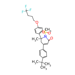 CC(C)(C)c1ccc(C2=CC(=O)N(S(C)(=O)=O)C(C)(c3ccc(OCCCC(F)(F)F)cc3)C2)cc1